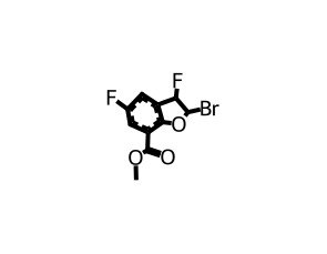 COC(=O)c1cc(F)cc2c1OC(Br)C2F